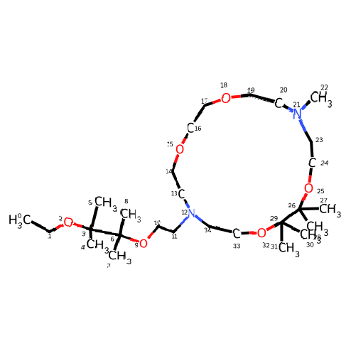 CCOC(C)(C)C(C)(C)OCCN1CCOCCOCCN(C)CCOC(C)(C)C(C)(C)OCC1